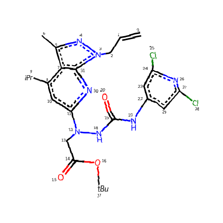 C=CCn1nc(C)c2c(C(C)C)cc(N(CC(=O)OC(C)(C)C)NC(=O)Nc3cc(Cl)nc(Cl)c3)nc21